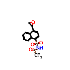 O=S(=O)(N[S+]([O-])C(F)(F)F)c1ccc(C2CO2)c2ccccc12